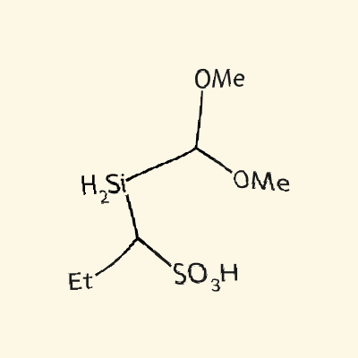 CCC([SiH2]C(OC)OC)S(=O)(=O)O